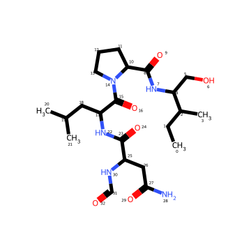 CCC(C)C(CO)NC(=O)C1CCCN1C(=O)C(CC(C)C)NC(=O)C(CC(N)=O)NC=O